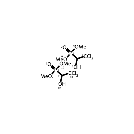 COP(=O)(OC)C(O)C(Cl)(Cl)Cl.COP(=O)(OC)C(O)C(Cl)(Cl)Cl